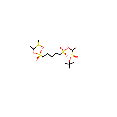 CC(OS(=O)(=O)CCCCCS(=O)(=O)OC(C)[S+](C)[O-])S(=O)OC(C)(C)C